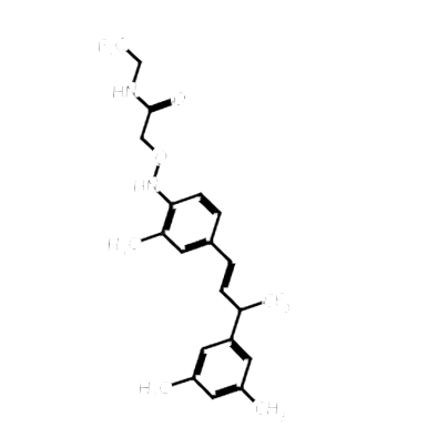 Cc1cc(C)cc(C(/C=C/c2ccc(NOCC(=O)NCC(F)(F)F)c(C)c2)C(F)(F)F)c1